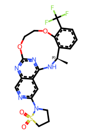 C[C@H]1Nc2nc(nc3cnc(N4CCCS4(=O)=O)cc23)OCCOc2c1cccc2C(F)(F)F